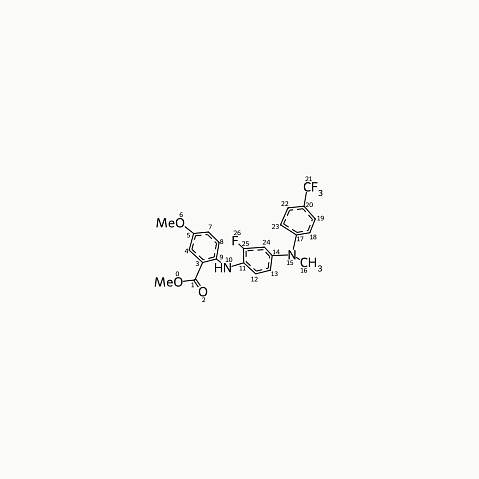 COC(=O)c1cc(OC)ccc1Nc1ccc(N(C)c2ccc(C(F)(F)F)cc2)cc1F